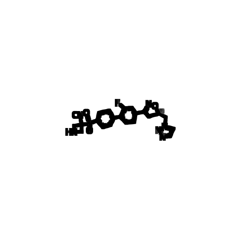 N#CC1(S(=O)(=O)c2ccc(-c3ccc(C4=NO[C@@H](Cn5ccnn5)C4)cc3F)cc2)CNC1